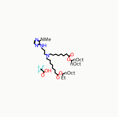 CCCCCCCCC(CC)OC(=O)CCCCCCCN(CCCCCCCC(=O)OC(CCCCCCCC)CCCCCCCC)CCCNc1nccnc1NC.O=C(O)C(F)(F)F